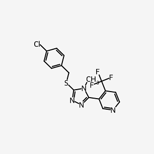 Cn1c(SCc2ccc(Cl)cc2)nnc1-c1cnccc1C(F)(F)F